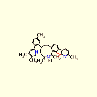 C=C1CC2C(CCc3ccc4c(oc5nc(C)ccc54)c3C(=C)N1CC)c1cc(C)ccc1-c1cc(C)c(C)c[n+]12